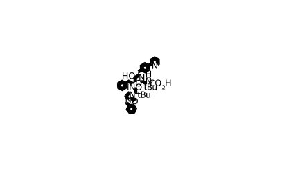 CC(C)(C)[C@H](NC(=O)O)C(=O)N[C@@H](Cc1ccc(-c2ccccn2)cc1)[C@@H](O)C[C@H](Cc1ccccc1)NC(=O)[C@@H](N1CCN(Cc2ccccc2)C1=O)C(C)(C)C